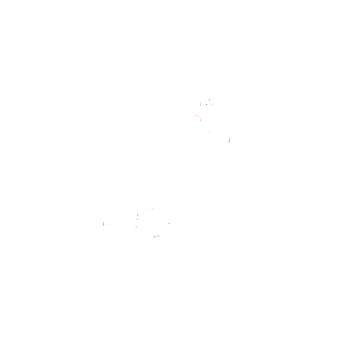 CC(=O)OOC1=CC=CC(=NCCOCc2ccc(Br)cc2)C1